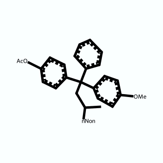 CCCCCCCCCC(C)CC(c1ccccc1)(c1ccc(OC)cc1)c1ccc(OC(C)=O)cc1